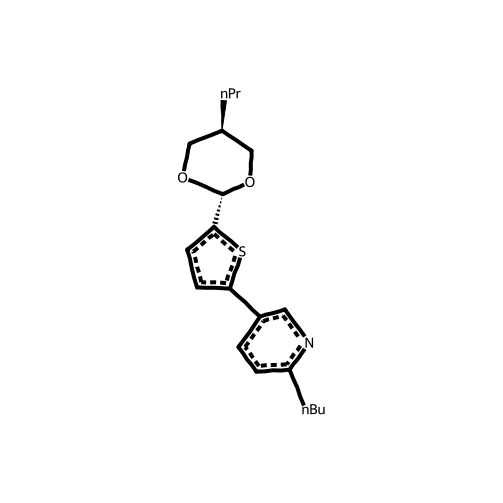 CCCCc1ccc(-c2ccc([C@H]3OC[C@H](CCC)CO3)s2)cn1